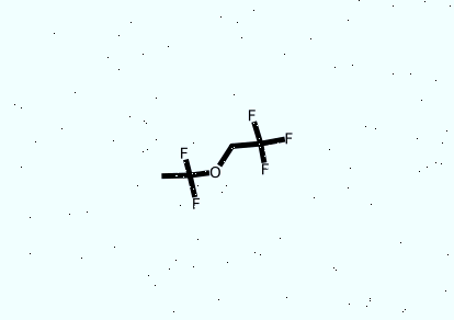 CC(F)(F)OCC(F)(F)F